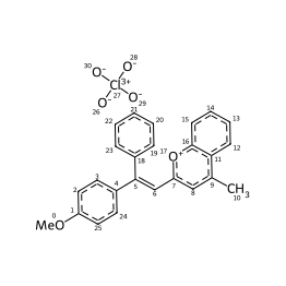 COc1ccc(C(=Cc2cc(C)c3ccccc3[o+]2)c2ccccc2)cc1.[O-][Cl+3]([O-])([O-])[O-]